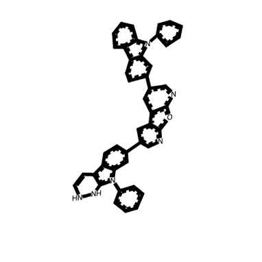 C1=Cc2c(n(-c3ccccc3)c3cc(-c4cnc5oc6ncc(-c7ccc8c9ccccc9n(-c9ccccc9)c8c7)cc6c5c4)ccc23)NN1